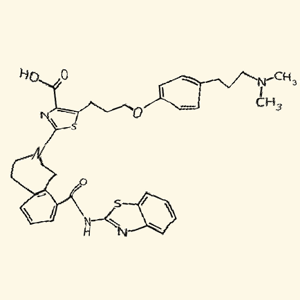 CN(C)CCCc1ccc(OCCCc2sc(N3CCc4cccc(C(=O)Nc5nc6ccccc6s5)c4C3)nc2C(=O)O)cc1